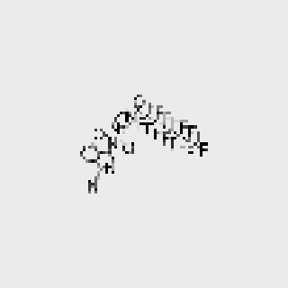 N#Cc1ncc(N2C(=O)C3C4CC(CN4C(=O)C(F)(F)C(F)(F)C(F)(F)C(F)(F)C(F)(F)C(F)(F)C(F)(F)F)N3C2=O)c2ccccc12